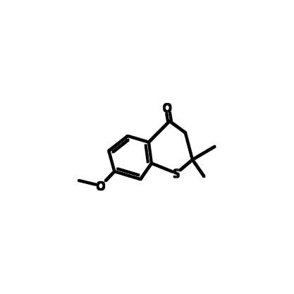 COc1ccc2c(c1)SC(C)(C)CC2=O